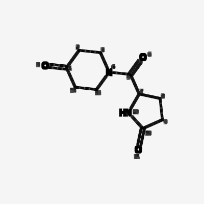 O=C1CCN(C(=O)C2CCC(=O)N2)CC1